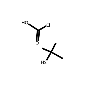 CC(C)(C)S.O=C(O)Cl